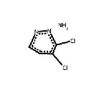 Clc1ccnnc1Cl.N